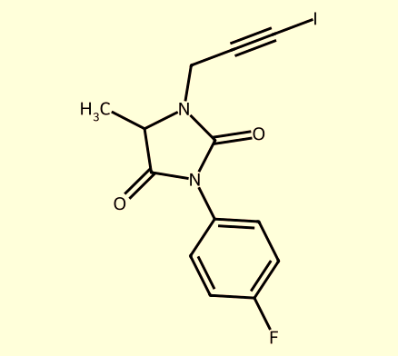 CC1C(=O)N(c2ccc(F)cc2)C(=O)N1CC#CI